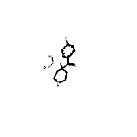 CC(C)(C)OC=O.O=C(c1ccc(F)cc1)C1(F)CCNCC1